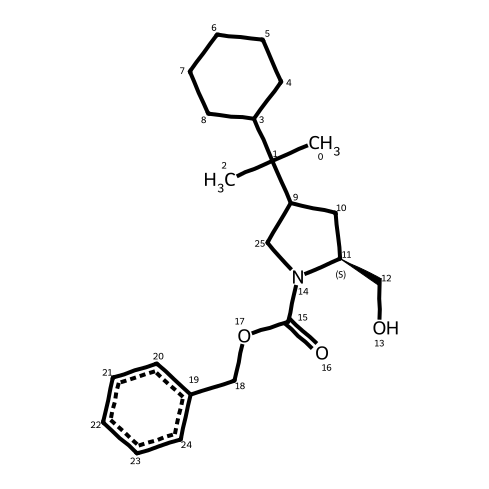 CC(C)(C1CCCCC1)C1C[C@@H](CO)N(C(=O)OCc2ccccc2)C1